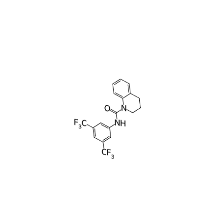 O=C(Nc1cc(C(F)(F)F)cc(C(F)(F)F)c1)N1CCCc2ccccc21